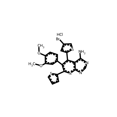 COc1ccc(-c2c(-c3cccs3)nc3ncnc(N)c3c2-c2cc(Br)cs2)cc1OC.Cl